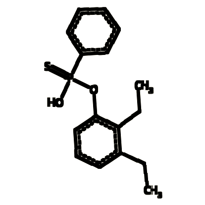 CCc1cccc(OP(O)(=S)c2ccccc2)c1CC